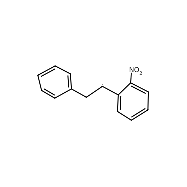 O=[N+]([O-])c1ccccc1[CH]Cc1ccccc1